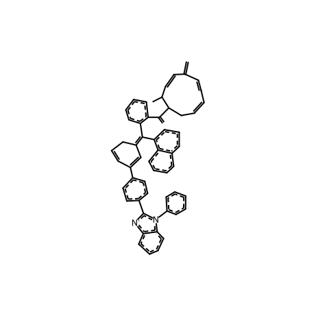 C=C1/C=C\C=C/CC(C(=C)c2ccccc2/C(=C2/C=C(c3ccc(-c4nc5ccccc5n4-c4ccccc4)cc3)C=CC2)c2cccc3ccccc23)C(C)/C=C\1